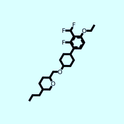 CCCC1CCC(COC2CCC(c3ccc(OCC)c(C(F)F)c3F)CC2)OC1